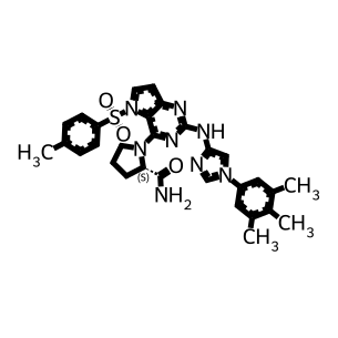 Cc1ccc(S(=O)(=O)n2ccc3nc(Nc4cn(-c5cc(C)c(C)c(C)c5)cn4)nc(N4CCC[C@H]4C(N)=O)c32)cc1